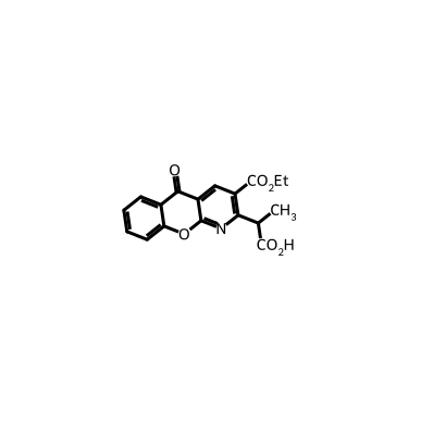 CCOC(=O)c1cc2c(=O)c3ccccc3oc2nc1C(C)C(=O)O